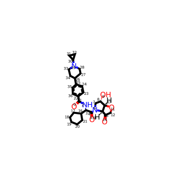 O=C(N[C@H](C(=O)N1C[C@H](O)[C@H]2OCC(=O)[C@H]21)C1CCCCC1)c1ccc(C2CCN(C3CC3)CC2)cc1